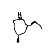 CC[C@H]1C[C@@H](C)CCN1